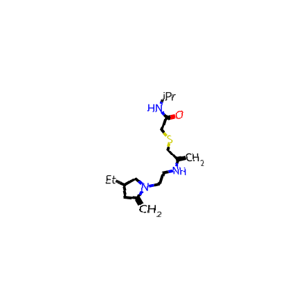 C=C(CSCC(=O)NC(C)C)NCCN1CC(CC)CC1=C